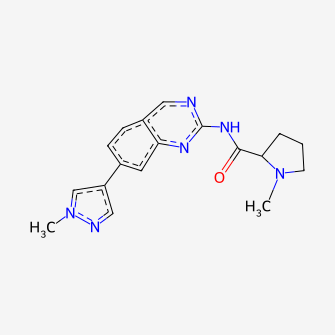 CN1CCCC1C(=O)Nc1ncc2ccc(-c3cnn(C)c3)cc2n1